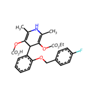 CCOC(=O)OC1=C(C)NC(C)=C(OC(=O)O)C1c1ccccc1OCc1ccc(F)cc1